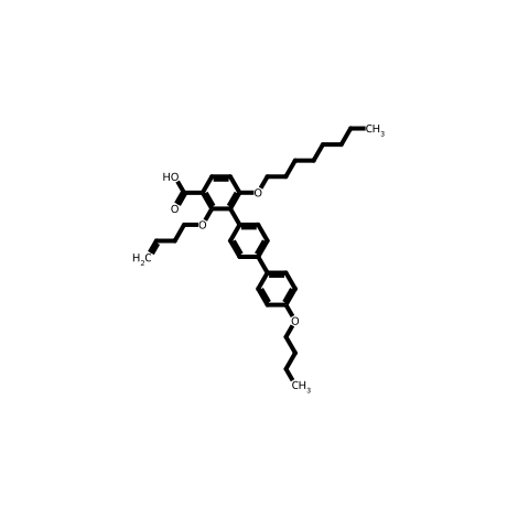 C=CCCOc1c(C(=O)O)ccc(OCCCCCCCC)c1-c1ccc(-c2ccc(OCCCC)cc2)cc1